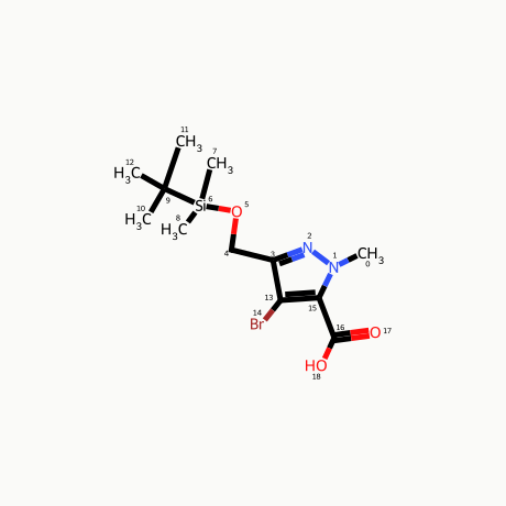 Cn1nc(CO[Si](C)(C)C(C)(C)C)c(Br)c1C(=O)O